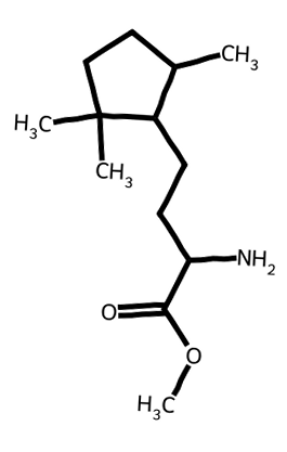 COC(=O)C(N)CCC1C(C)CCC1(C)C